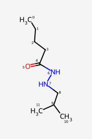 CCCCC(=O)NNCC(C)C